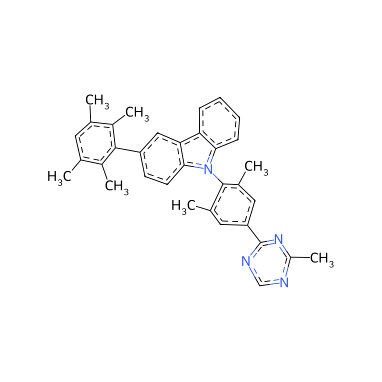 Cc1ncnc(-c2cc(C)c(-n3c4ccccc4c4cc(-c5c(C)c(C)cc(C)c5C)ccc43)c(C)c2)n1